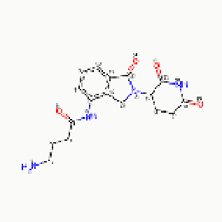 NCCCC(=O)Nc1cccc2c1CN(C1CCC(=O)NC1=O)C2=O